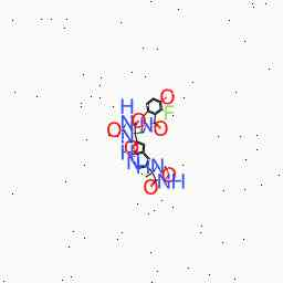 COc1ccc2c(c1F)C(=O)N(C[C@@]1(c3cc4cc(C5(C)NCONC5=O)cnc4o3)NC(=O)NC1=O)C2